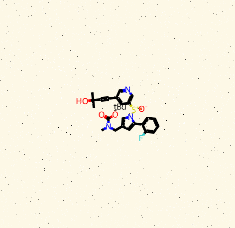 CN(Cc1cc(-c2ccccc2F)n([S+]([O-])c2cncc(C#CC(C)(C)O)c2)c1)C(=O)OC(C)(C)C